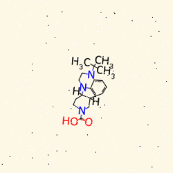 CC(C)(C)N1CCN2c3c(cccc31)[C@@H]1CN(C(=O)O)CC[C@@H]12